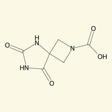 O=C1NC(=O)C2(CN(C(=O)O)C2)N1